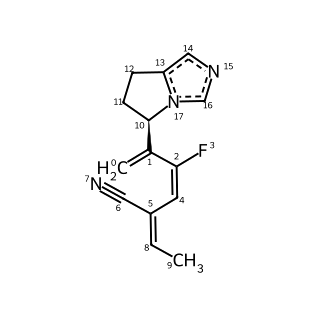 C=C(/C(F)=C\C(C#N)=C/C)[C@H]1CCc2cncn21